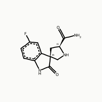 NC(=O)[C@@H]1C[C@@]2(CN1)C(=O)Nc1ccc(F)cc12